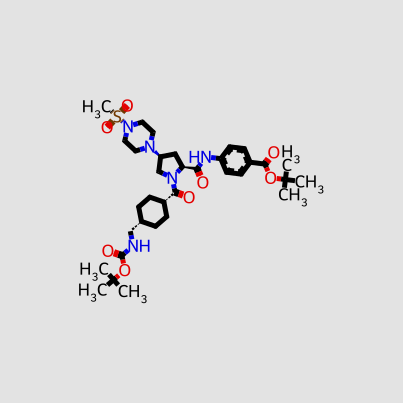 CC(C)(C)OC(=O)NC[C@H]1CC[C@@H](C(=O)N2C[C@@H](N3CCN(S(C)(=O)=O)CC3)C[C@H]2C(=O)Nc2ccc(C(=O)OC(C)(C)C)cc2)CC1